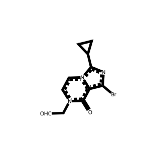 O=CCn1ccn2c(C3CC3)nc(Br)c2c1=O